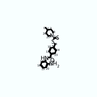 CC1CCN(C(=S)SCc2ccc(C(=O)Nc3ccccc3N)cc2)CC1